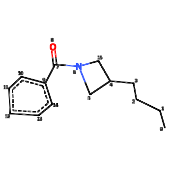 CCCCC1CN(C(=O)c2ccccc2)C1